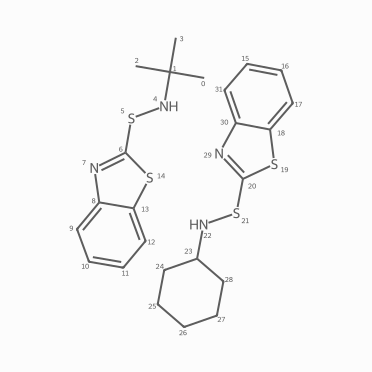 CC(C)(C)NSc1nc2ccccc2s1.c1ccc2sc(SNC3CCCCC3)nc2c1